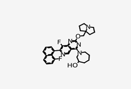 OC1CCCCN(c2nc(OCC34CCCN3CCC4)nc3c(F)c(-c4cccc5cccc(F)c45)ncc23)C1